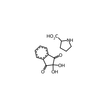 O=C(O)C1CCCN1.O=C1c2ccccc2C(=O)C1(O)O